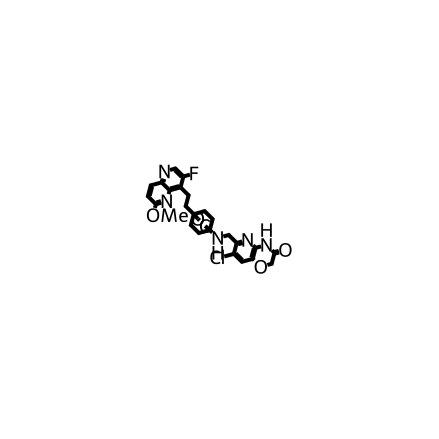 COc1ccc2ncc(F)c(CCC34CCC(NCc5nc6c(cc5Cl)OCC(=O)N6)(CC3)CO4)c2n1